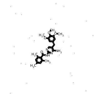 COc1cc(Cc2cnc(NC(=O)c3c(C)cc(C)cc3C)nc2N)cc(OC)c1OC